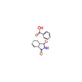 O=C(O)c1ccccc1.O=C1NC(=O)C2CCC=CC12